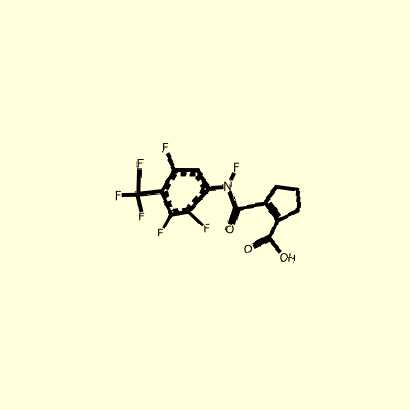 O=C(O)C1=C(C(=O)N(F)c2cc(F)c(C(F)(F)F)c(F)c2F)CCC1